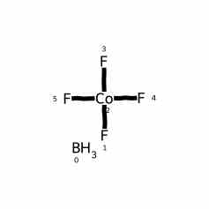 B.[F][Co]([F])([F])[F]